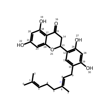 CC(C)=CCC/C(C)=C/Cc1cc(C2CC(=O)c3c(O)cc(O)cc3O2)c(O)cc1O